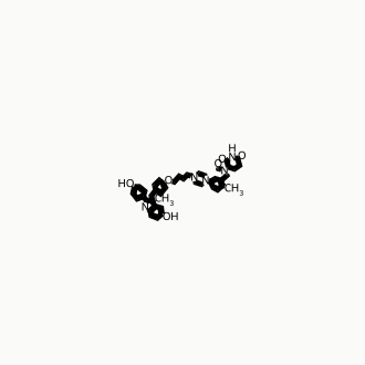 Cc1ccc(N2CCN(CCCCOc3ccc(CC4(C)C(c5ccc(O)cc5)=Nc5ccc(O)cc54)cc3)CC2)cc1CN(C=O)C1CCC(=O)NC1=O